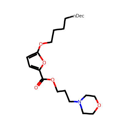 CCCCCCCCCCCCCCOc1ccc(C(=O)OCCCN2CCOCC2)o1